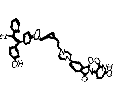 CC/C(=C(\c1ccc(O)cc1)c1ccc(OCC2CC2CCN2CCN(c3ccc4c(c3)C(=O)N(C3CCC(=O)NC3=O)C4=O)CC2)cc1)c1ccccc1